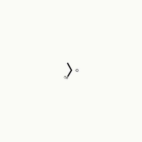 CC[Te].[O]